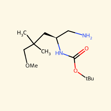 COCC(C)(C)C[C@@H](CN)NC(=O)OC(C)(C)C